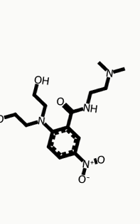 CN(C)CCNC(=O)c1cc([N+](=O)[O-])ccc1N(CCO)CCO